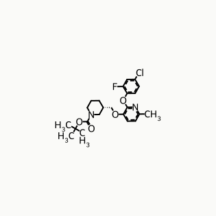 Cc1ccc(OC[C@H]2CCCN(C(=O)OC(C)(C)C)C2)c(Oc2ccc(Cl)cc2F)n1